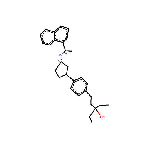 CCC(O)(CC)CCc1ccc([C@H]2CC[C@H](N[C@H](C)c3cccc4ccccc34)C2)cc1